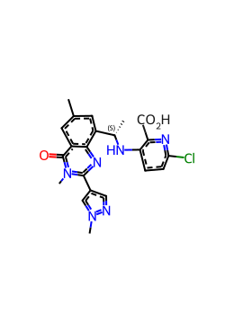 Cc1cc([C@H](C)Nc2ccc(Cl)nc2C(=O)O)c2nc(-c3cnn(C)c3)n(C)c(=O)c2c1